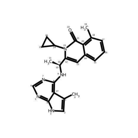 Cc1c[nH]c2ncnc(N[C@@H](C)c3cc4cccc(C)c4c(=O)n3C3CC3)c12